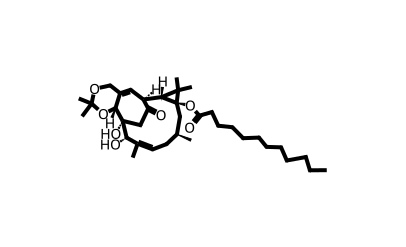 CCCCCCCCCCCC(=O)O[C@@]12C[C@@H](C)C/C=C(/C)[C@H](O)[C@]3(O)CC(=O)[C@@H](C=C4COC(C)(C)O[C@H]43)[C@@H]1C2(C)C